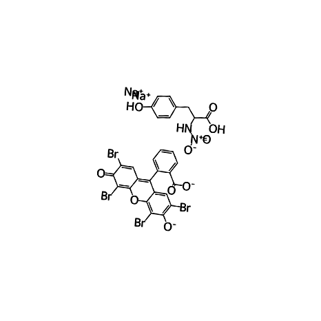 O=C(O)C(Cc1ccc(O)cc1)N[N+](=O)[O-].O=C([O-])c1ccccc1-c1c2cc(Br)c(=O)c(Br)c-2oc2c(Br)c([O-])c(Br)cc12.[Na+].[Na+]